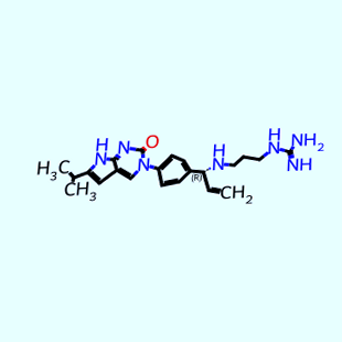 C=C[C@@H](NCCCNC(=N)N)c1ccc(-n2cc3cc(C(C)C)[nH]c3nc2=O)cc1